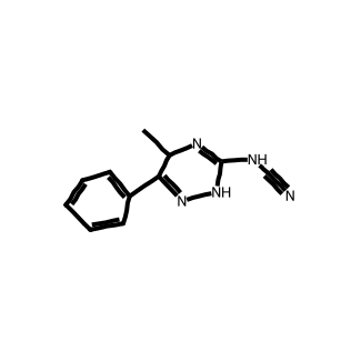 CC1N=C(NC#N)NN=C1c1ccccc1